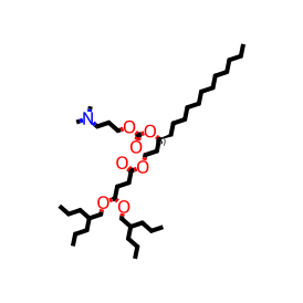 CCCCCCCCCCCC[C@@H](CCOC(=O)CCC(OCC(CCC)CCC)OCC(CCC)CCC)OC(=O)OCCCN(C)C